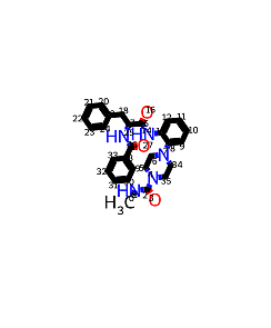 CNC(=O)N1CCN(c2ccccc2NC(=O)C(Cc2ccccc2)NC(=O)c2ccccc2)CC1